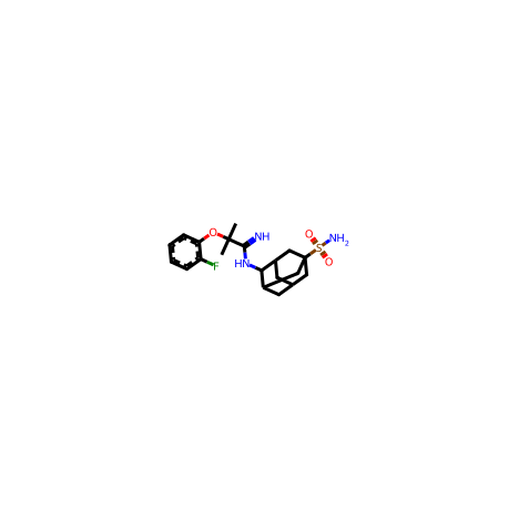 CC(C)(Oc1ccccc1F)C(=N)NC1C2CC3CC1CC(S(N)(=O)=O)(C3)C2